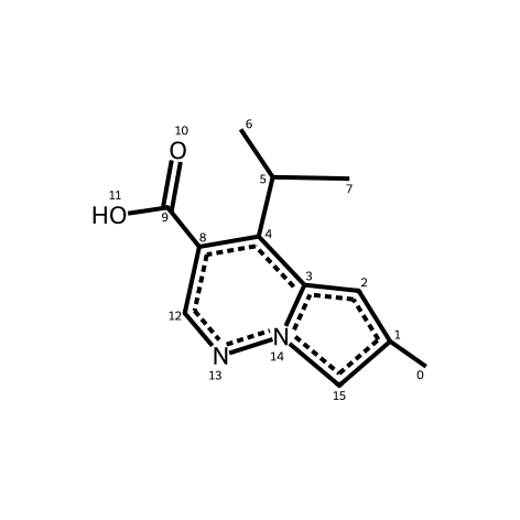 Cc1cc2c(C(C)C)c(C(=O)O)cnn2c1